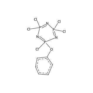 ClP1(Cl)=NP(Cl)(Cl)=NP(Cl)(Oc2ccccc2)=N1